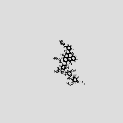 Cc1cc(C)c(Nc2nc(O)nc(Nc3cc(Nc4ccc5[nH]c(=O)c(C(=O)c6cccc(SOOO)c6)c6c5c4C(=O)c4ccccc4-6)c(SOOO)cc3S(=O)(=O)O)n2)c(C)c1